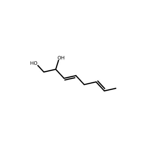 CC=CCC=CC(O)CO